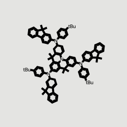 CC(C)(C)c1ccc(N(c2ccc3c(c2)C(C)(C)c2ccccc2-3)c2ccc3c(c2)C(C)(C)c2cc(N(c4ccc(C(C)(C)C)cc4)C4C=C5C(=CC4)c4ccccc4C5(C)C)cc4c2N3C2=C(CC(N(c3ccc(C(C)(C)C)cc3)c3ccc5c(c3)C(C)(C)c3ccccc3-5)C=C2)C4(C)C)cc1